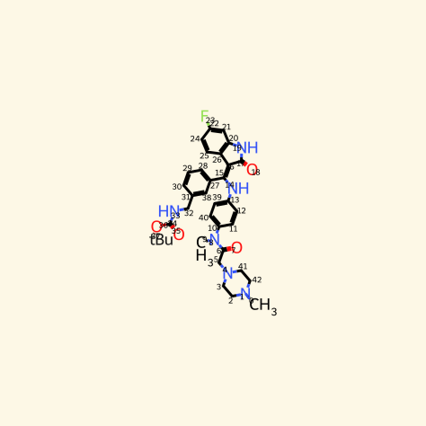 CN1CCN(CC(=O)N(C)c2ccc(N/C(=C3\C(=O)Nc4cc(F)ccc43)c3cccc(CNC(=O)OC(C)(C)C)c3)cc2)CC1